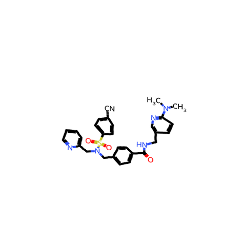 CN(C)c1ccc(CNC(=O)c2ccc(CN(Cc3ccccn3)S(=O)(=O)c3ccc(C#N)cc3)cc2)cn1